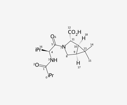 CC(C)C(=O)N[C@H](C(=O)N1C[C@H]2[C@@H]([C@H]1C(=O)O)C2(C)C)C(C)C